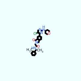 Cc1ccccc1[C@@H](C)NC(=O)CN1Cc2ccc(-c3nc(NC4CCOCC4)ncc3Cl)cc2C1=O